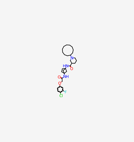 O=C(COc1ccc(Cl)c(F)c1)NC12CCC(NC(=O)C3CCCN(C4CCCCCCCCCC4)C3)(C1)C2